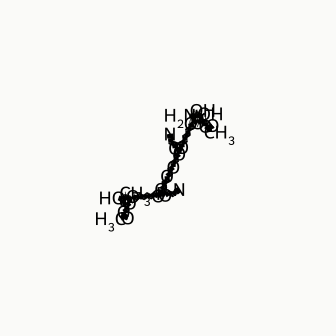 CC(=O)OCC1CC(O)[C@H](C)[C@H](OCCCCCCOP(OCCC#N)OCCCOCCOCCCOP(OCCC#N)OCCCCCCO[C@@H]2OC(COC(C)=O)[C@H](O)[C@H](O)C2N)O1